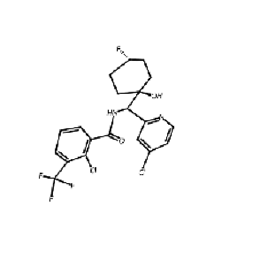 O=C(NC(c1cc(Cl)ccn1)[C@]1(O)CC[C@H](F)CC1)c1cccc(C(F)(F)F)c1Cl